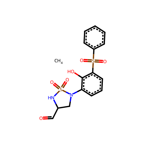 C.O=CC1CN(c2cccc(S(=O)(=O)c3ccccc3)c2O)S(=O)(=O)N1